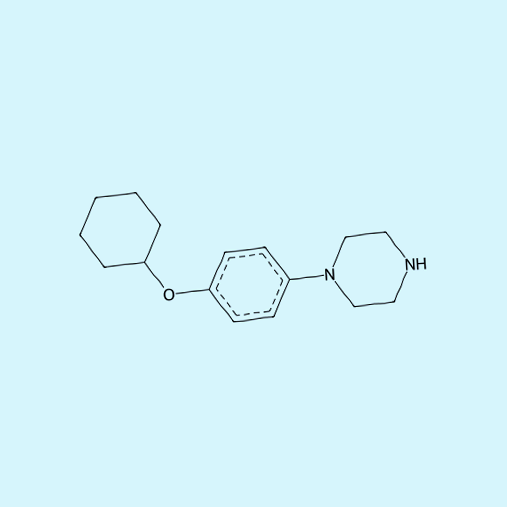 c1cc(N2CCNCC2)ccc1OC1CCCCC1